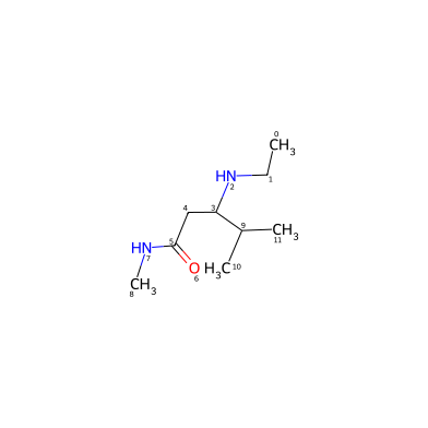 CCNC(CC(=O)NC)C(C)C